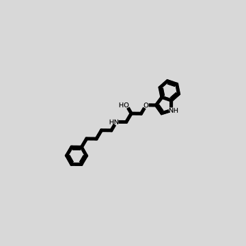 OC(CNCCCCc1ccccc1)COc1c[nH]c2ccccc12